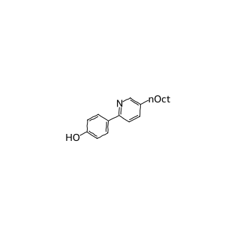 CCCCCCCCc1ccc(-c2ccc(O)cc2)nc1